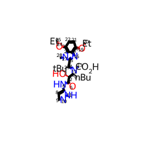 CCCC[C@@H]([C@H](O)C(=O)Nc1ccn[nH]1)N(C(=O)O)[C@H](c1nc2c(OCC)ccc(OCC)c2n1C)C(C)(C)C